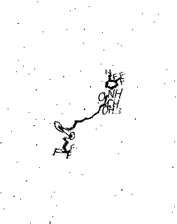 C[C@](O)(CCCCCCCCCS(=O)(=O)CCCC(F)(F)F)C(=O)Nc1ccc(C#N)c(C(F)(F)F)c1